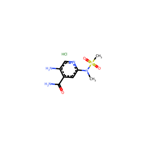 CN(c1cc(C(N)=O)c(N)cn1)S(C)(=O)=O.Cl